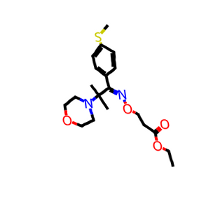 CCOC(=O)CCON=C(c1ccc(SC)cc1)C(C)(C)N1CCOCC1